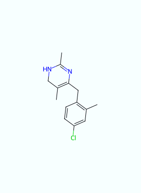 CC1=NC(Cc2ccc(Cl)cc2C)=C(C)CN1